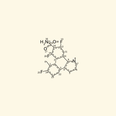 Cc1cc(-c2cccnc2-c2cc(F)c(S(N)(=O)=O)c(F)c2)ccc1F